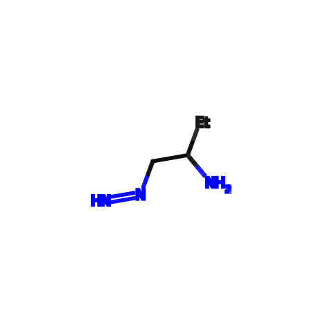 CCC(N)CN=N